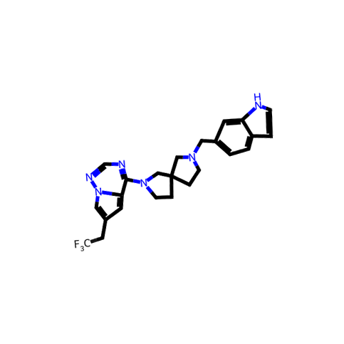 FC(F)(F)Cc1cc2c(N3CCC4(CCN(Cc5ccc6cc[nH]c6c5)C4)C3)ncnn2c1